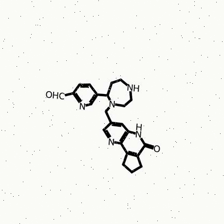 O=Cc1ccc(C2CCNCCN2Cc2cnc3c4c(c(=O)[nH]c3c2)CCC4)cn1